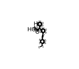 CCc1ccc(C#Cc2cccc(C(C(=O)NO)c3ccccc3)c2)cc1